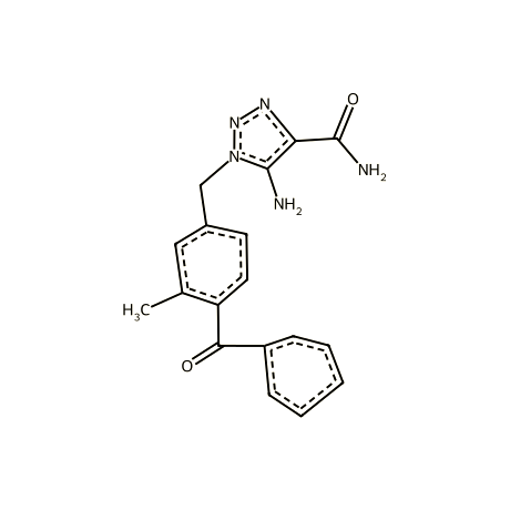 Cc1cc(Cn2nnc(C(N)=O)c2N)ccc1C(=O)c1ccccc1